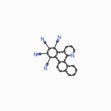 N#Cc1c(C#N)c(C#N)c2c3ccc4ccccc4c3c3ncccc3c2c1C#N